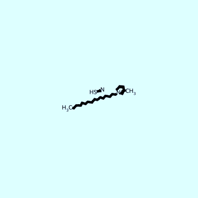 CCCCCCCCCCCCCCCC[n+]1cccc(C)c1.N#CS